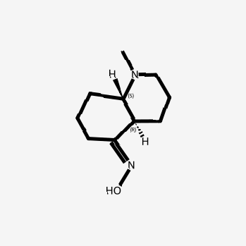 CN1CCC[C@H]2C(=NO)CCC[C@@H]21